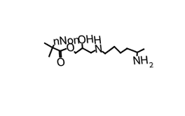 CCCCCCCCCC(C)(C)C(=O)OCC(O)CNCCCCC(C)N